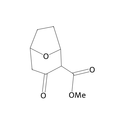 COC(=O)C1C(=O)CC2CCC1O2